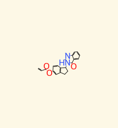 C=CC(=O)Oc1ccc2c(c1)CCC2NC(=O)c1ccccc1N(C)C